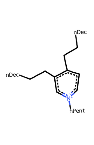 CCCCCCCCCCCCc1cc[n+](CCCCC)cc1CCCCCCCCCCCC